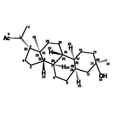 CC(=O)C(C)[C@H]1CC[C@H]2[C@@H]3CC[C@@H]4C[C@](C)(O)CC[C@@H]4[C@H]3CC[C@]12C